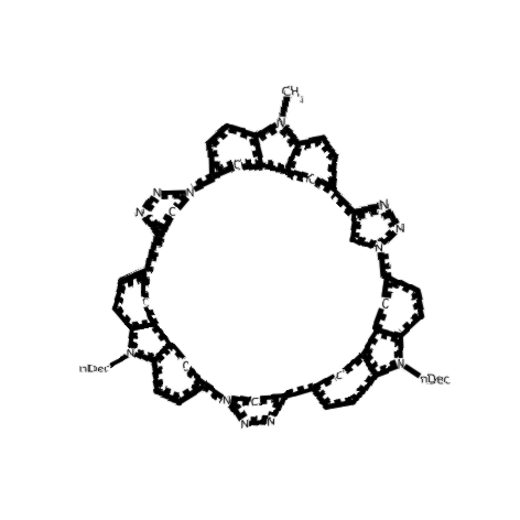 CCCCCCCCCCn1c2ccc3cc2c2cc(ccc21)n1cc(nn1)c1ccc2c(c1)c1cc(ccc1n2C)n1cc(nn1)c1ccc2c(c1)c1cc(ccc1n2CCCCCCCCCC)n1cc3nn1